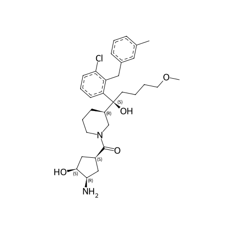 COCCCC[C@@](O)(c1cccc(Cl)c1Cc1cccc(C)c1)[C@@H]1CCCN(C(=O)[C@H]2C[C@@H](N)[C@@H](O)C2)C1